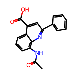 CC(=O)Nc1cccc2c(C(=O)O)cc(-c3ccccc3)nc12